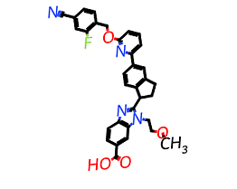 COCCn1c(C2CCc3cc(-c4cccc(OCc5ccc(C#N)cc5F)n4)ccc32)nc2ccc(C(=O)O)cc21